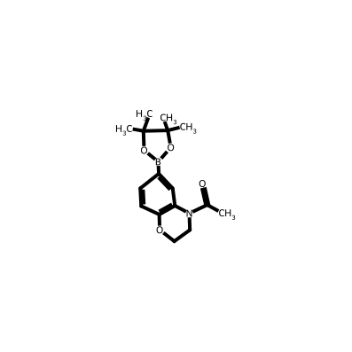 CC(=O)N1CCOc2ccc(B3OC(C)(C)C(C)(C)O3)cc21